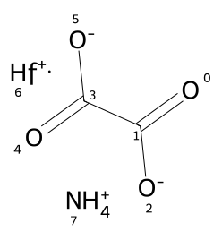 O=C([O-])C(=O)[O-].[Hf+].[NH4+]